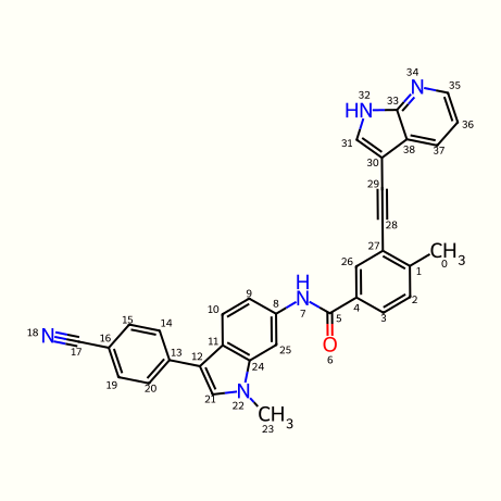 Cc1ccc(C(=O)Nc2ccc3c(-c4ccc(C#N)cc4)cn(C)c3c2)cc1C#Cc1c[nH]c2ncccc12